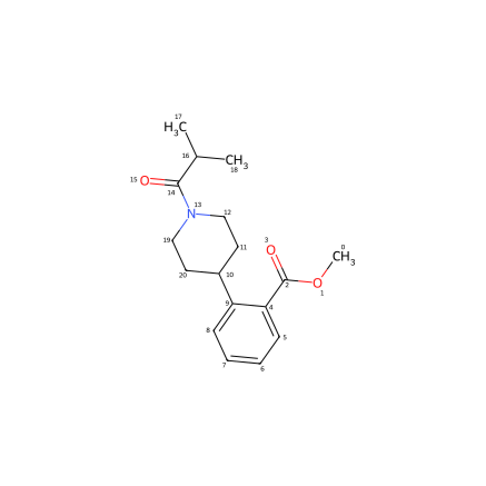 COC(=O)c1ccccc1C1CCN(C(=O)C(C)C)CC1